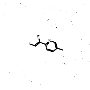 Cc1ccc(/C(F)=C/I)nc1